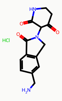 Cl.NCc1ccc2c(c1)CN(C1C(=O)CCNC1=O)C2=O